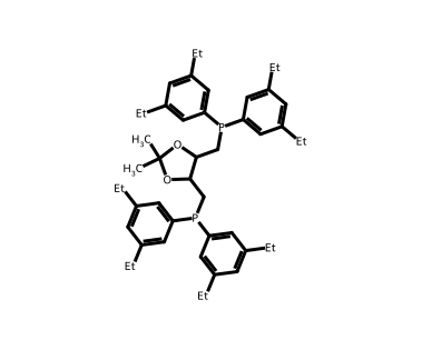 CCc1cc(CC)cc(P(CC2OC(C)(C)OC2CP(c2cc(CC)cc(CC)c2)c2cc(CC)cc(CC)c2)c2cc(CC)cc(CC)c2)c1